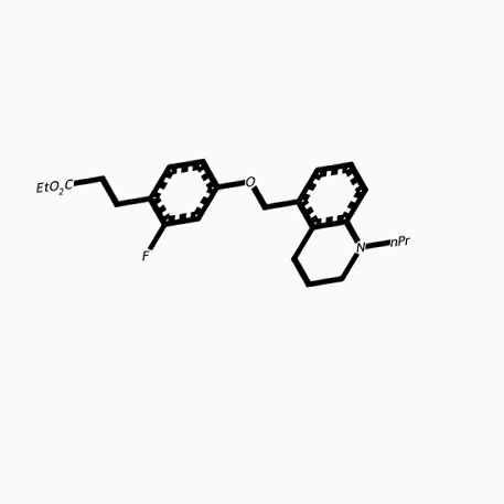 CCCN1CCCc2c(COc3ccc(CCC(=O)OCC)c(F)c3)cccc21